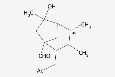 CC(=O)CC1C(C)[C@@H](C)C2CC1(C=O)CC2(C)O